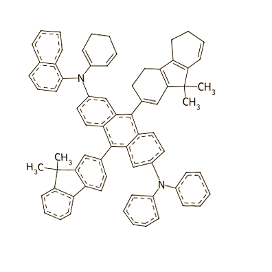 CC1(C)C2=C(CCC=C2)C2=C1C=C(c1c3cc(N(C4=CCCC=C4)c4cccc5ccccc45)ccc3c(-c3ccc4c(c3)C(C)(C)c3ccccc3-4)c3cc(N(c4ccccc4)c4ccccc4)ccc13)CC2